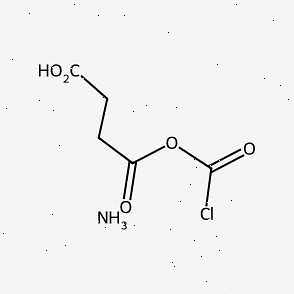 N.O=C(O)CCC(=O)OC(=O)Cl